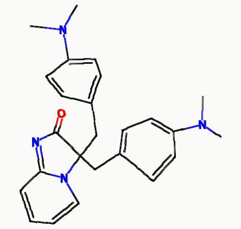 CN(C)c1ccc(CC2(Cc3ccc(N(C)C)cc3)C(=O)N=C3C=CC=CN32)cc1